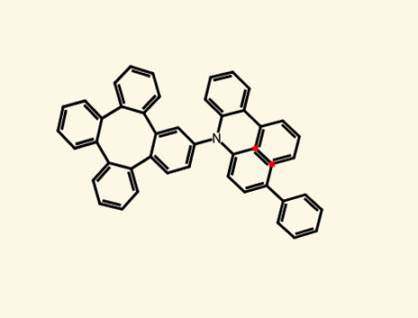 c1ccc(-c2ccc(N(c3ccc4c(c3)-c3ccccc3-c3ccccc3-c3ccccc3-4)c3ccccc3-c3ccccc3)cc2)cc1